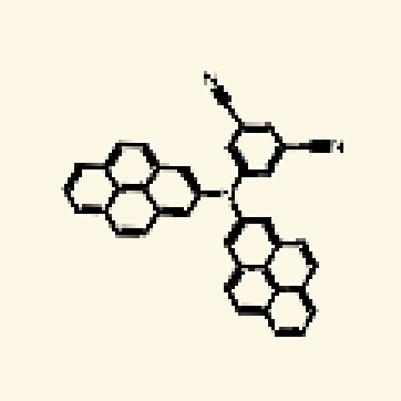 N#Cc1cc(C#N)cc(N(c2cc3ccc4cccc5ccc(c2)c3c45)c2cc3ccc4cccc5ccc(c2)c3c45)c1